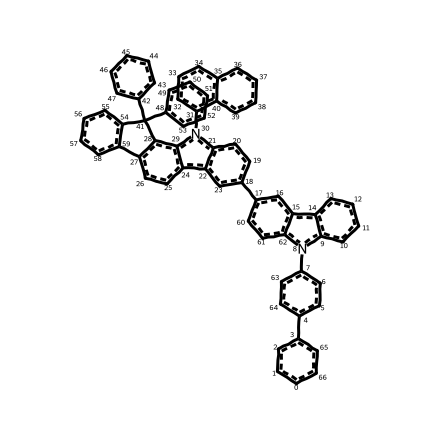 c1ccc(-c2ccc(-n3c4ccccc4c4cc(-c5ccc6c(c5)c5ccc7c(c5n6-c5cccc6ccccc56)C(c5ccccc5)(c5ccccc5)c5ccccc5-7)ccc43)cc2)cc1